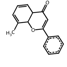 CC1=CC=CC2C(=O)C=C(c3ccccc3)OC12